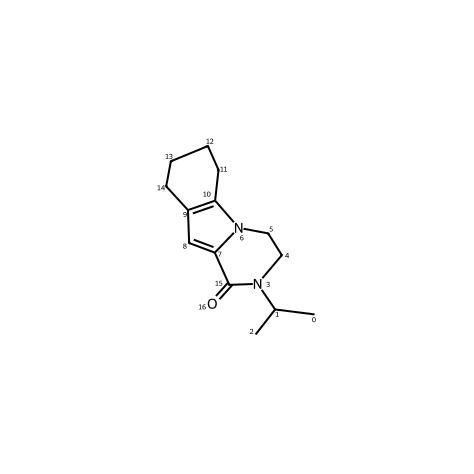 CC(C)N1CCn2c(cc3c2CCCC3)C1=O